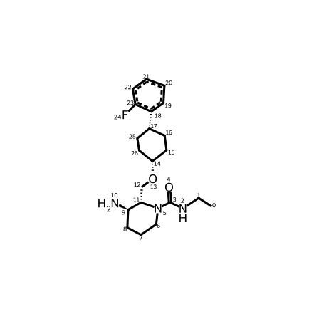 CCNC(=O)N1CCC[C@@H](N)[C@@H]1CO[C@H]1CC[C@@H](c2ccccc2F)CC1